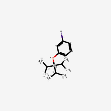 CC(C)[Si](Oc1cccc(I)c1)(C(C)C)C(C)C